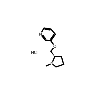 CN1CCC[C@@H]1COc1cccnc1.Cl